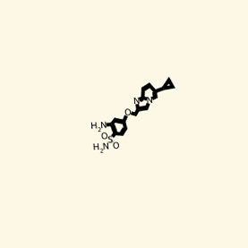 Nc1cc(OCc2cn3cc(C4CC4)ccc3n2)ccc1S(N)(=O)=O